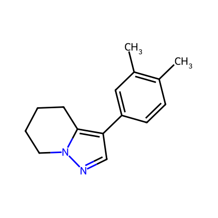 Cc1ccc(-c2cnn3c2CCCC3)cc1C